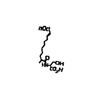 CCCCCCCCC=CCCCCCCC(C)C(=O)N[C@@H](CO)C(=O)O